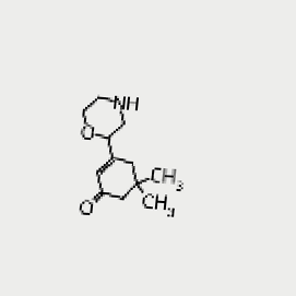 CC1(C)CC(=O)C=C(C2CNCCO2)C1